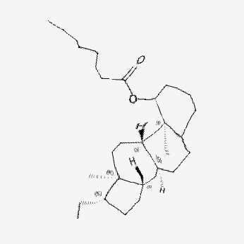 CCCCCC(=O)OC1CCCC2CC[C@@H]3[C@H](CC[C@]4(C)[C@@H](CC)CC[C@@H]34)[C@]21C